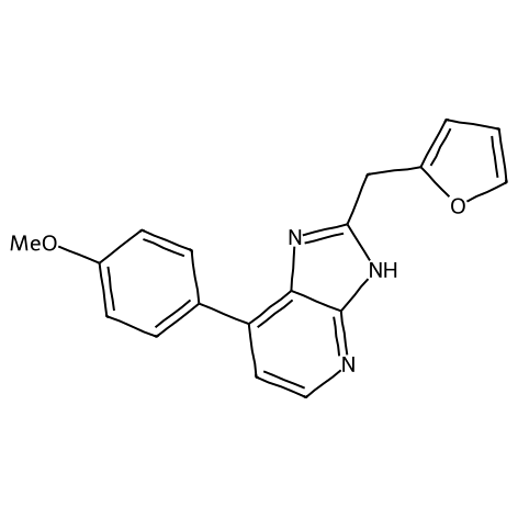 COc1ccc(-c2ccnc3[nH]c(Cc4ccco4)nc23)cc1